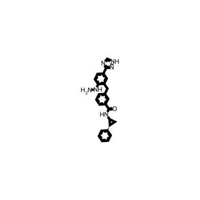 NNc1ccc(-c2nc[nH]n2)cc1Cc1cccc(C(=O)NC2C[C@@H]2c2ccccc2)c1